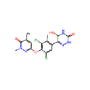 Cc1c(C2=NNC(=O)NC2O)cc(Cl)c(Oc2cc(C(C)C)c(=O)n(C)n2)c1Cl